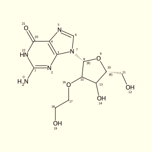 Nc1nc2c(ncn2[C@@H]2O[C@H](CO)C(O)C2OCCO)c(=O)[nH]1